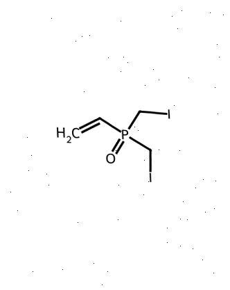 C=CP(=O)(CI)CI